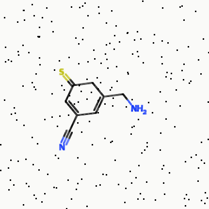 N#CC1=CC(=S)CC(CN)=C1